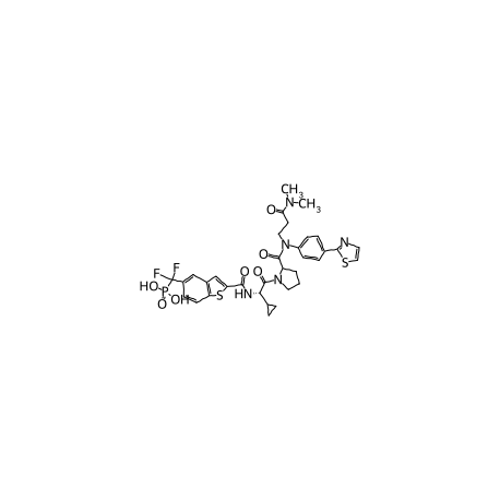 CN(C)C(=O)CCN(C(=O)C1CCCN1C(=O)[C@@H](NC(=O)c1cc2cc(C(F)(F)P(=O)(O)O)ccc2s1)C1CC1)c1ccc(-c2nccs2)cc1